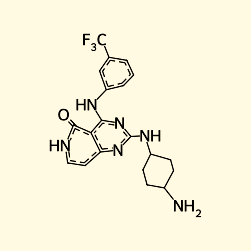 NC1CCC(Nc2nc(Nc3cccc(C(F)(F)F)c3)c3c(=O)[nH]ccc3n2)CC1